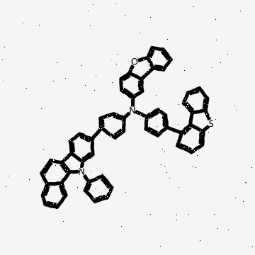 c1ccc(-n2c3cc(-c4ccc(N(c5ccc(-c6cccc7sc8ccccc8c67)cc5)c5ccc6oc7ccccc7c6c5)cc4)ccc3c3ccc4ccccc4c32)cc1